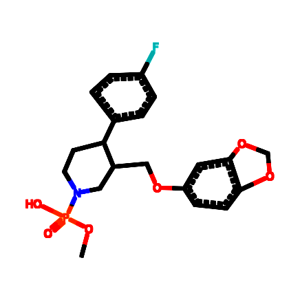 COP(=O)(O)N1CCC(c2ccc(F)cc2)C(COc2ccc3c(c2)OCO3)C1